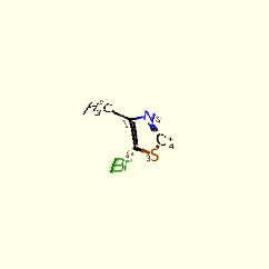 CC1=CS[C+]=N1.[Br-]